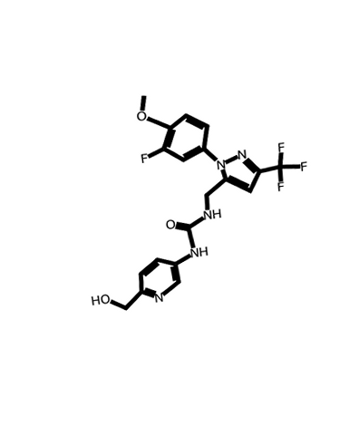 COc1ccc(-n2nc(C(F)(F)F)cc2CNC(=O)Nc2ccc(CO)nc2)cc1F